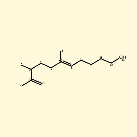 C=C(C)C(C)CC/C(C)=C/CCCCO